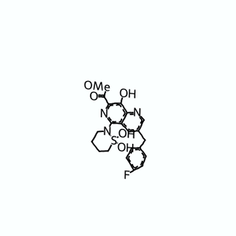 COC(=O)c1nc(N2CCCCS2(O)O)c2cc(Cc3ccc(F)cc3)cnc2c1O